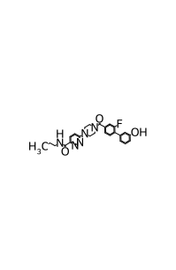 CCCNC(=O)c1ccc(N2CCN(C(=O)c3ccc(-c4cccc(O)c4)c(F)c3)CC2)nn1